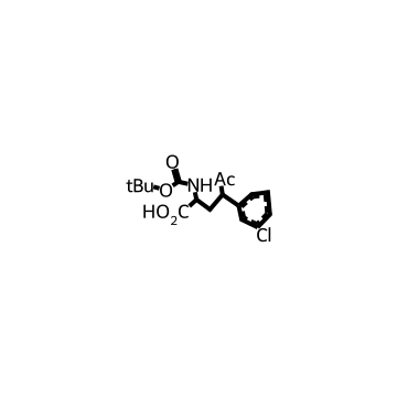 CC(=O)C(CC(NC(=O)OC(C)(C)C)C(=O)O)c1cccc(Cl)c1